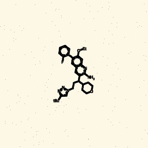 CCOc1cc2nc(N)c(C(CCn3cc(C(C)(C)C)nn3)C3CCOCC3)cc2cc1-c1ccccc1F